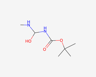 CNC(O)NC(=O)OC(C)(C)C